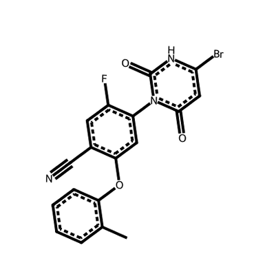 Cc1ccccc1Oc1cc(-n2c(=O)cc(Br)[nH]c2=O)c(F)cc1C#N